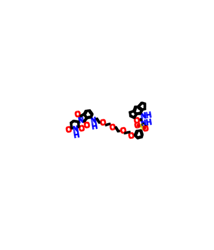 O=C1CCC(N2C(=O)c3cccc(NCCOCCOCCOCCOc4cccc(S(=O)(=O)NC(=O)Nc5c6c(cc7c5CCC7)CCC6)c4)c3C2=O)C(=O)N1